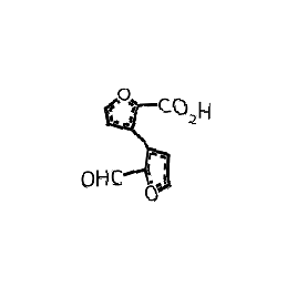 O=Cc1occc1-c1ccoc1C(=O)O